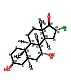 C[C@]12CC[C@H](O)C[C@@H]1C[C@@H](O)[C@@H]1[C@@H]2CC[C@]2(C)C(=O)[C@H](Br)C[C@@H]12